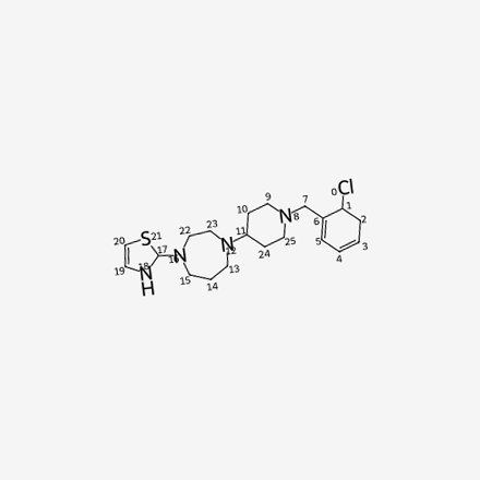 ClC1CC=CC=C1CN1CCC(N2CCCN(C3NC=CS3)CC2)CC1